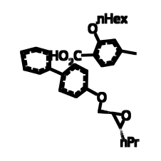 CCCCCCOc1cc(C)ccc1C(=O)O.CCC[C@H]1O[C@@H]1COc1ccc(-c2ccccc2)cc1